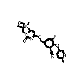 Cc1ccc(Oc2c(F)cc(COc3cc4n(c(=O)n3)CC3(COC3)N4C)cc2C#N)cn1